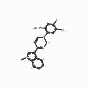 COc1cc(F)c([N+](=O)[O-])cc1N1C=CC(c2cn(C)c3ccccc23)=NC1